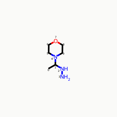 CC(NN)N1CCOCC1